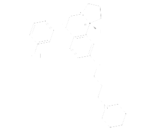 Oc1cccc([C@@H]2CN3CCC[C@@H]3c3cc(OCCCN4CCCCC4)ccc32)c1